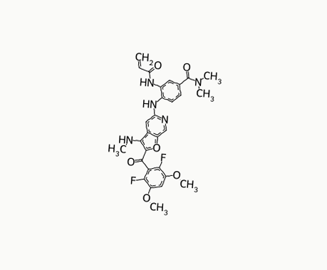 C=CC(=O)Nc1cc(C(=O)N(C)C)ccc1Nc1cc2c(NC)c(C(=O)c3c(F)c(OC)cc(OC)c3F)oc2cn1